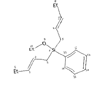 CCC=CC[Si](CC=CCC)(OCC)c1ccccc1